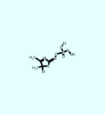 CCCSP(=O)(OCC)O/N=C1\N=C(C)C(C)(CC)S1